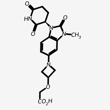 Cn1c(=O)n([C@@H]2CCC(=O)NC2=O)c2ccc(N3CC(OCC(=O)O)C3)cc21